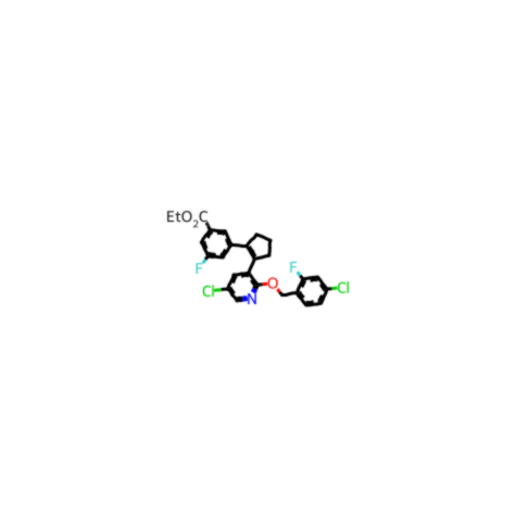 CCOC(=O)c1cc(F)cc(C2=C(c3cc(Cl)cnc3OCc3ccc(Cl)cc3F)CCC2)c1